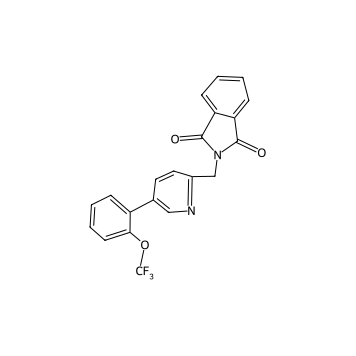 O=C1c2ccccc2C(=O)N1Cc1ccc(-c2ccccc2OC(F)(F)F)cn1